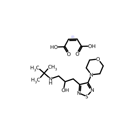 CC(C)(C)NCC(O)Cc1nsnc1N1CCOCC1.O=C(O)/C=C\C(=O)O